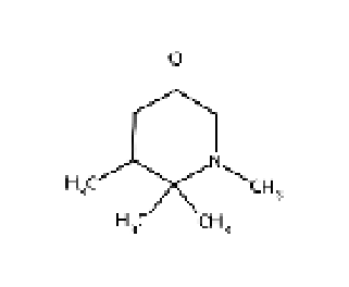 CC1CCCN(C)C1(C)C.[O]